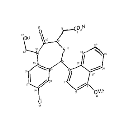 COc1ccc(C2SC(CC(=O)O)C(=O)N(CC(C)(C)C)c3ccc(Cl)cc32)c2ccccc12